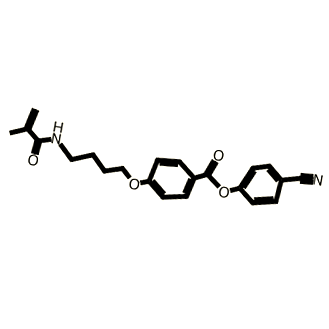 C=C(C)C(=O)NCCCCOc1ccc(C(=O)Oc2ccc(C#N)cc2)cc1